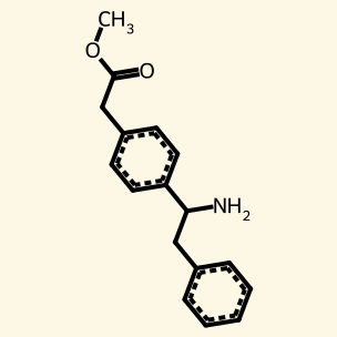 COC(=O)Cc1ccc(C(N)Cc2ccccc2)cc1